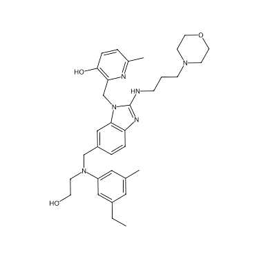 CCc1cc(C)cc(N(CCO)Cc2ccc3nc(NCCCN4CCOCC4)n(Cc4nc(C)ccc4O)c3c2)c1